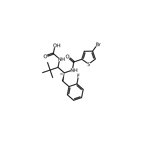 CC(C)(C)C(NC(=O)O)[C@H](Cc1ccccc1F)NC(=O)c1cc(Br)cs1